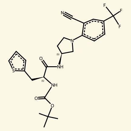 CC(C)(C)OC(=O)N[C@@H](Cc1cccs1)C(=O)N[C@H]1CCN(c2ccc(C(F)(F)F)cc2C#N)C1